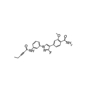 CCC#CC(=O)Nc1cccc(-n2cc(-c3ccc(C(N)=O)c(OC)c3)c(F)n2)c1